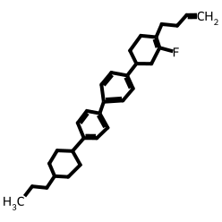 C=CCCC1=C(F)CC(c2ccc(-c3ccc(C4CCC(CCC)CC4)cc3)cc2)CC1